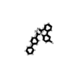 Ic1ccc2c(c1)c1ccccc1c1nnc(-c3ccc(-c4ccccc4)cc3)n21